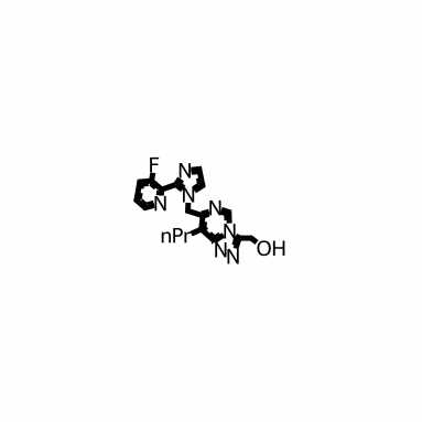 CCCc1c(Cn2ccnc2-c2ncccc2F)ncn2c(CO)nnc12